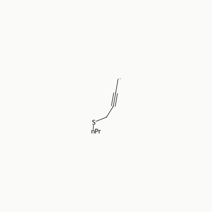 [CH2]C#CCSCCC